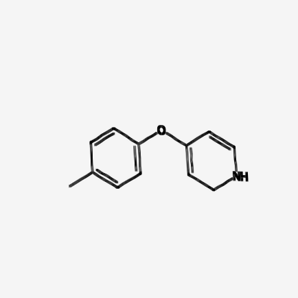 Cc1ccc(OC2=CCNC=C2)cc1